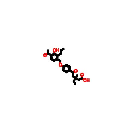 CCCc1c(COc2ccc(C(=O)CC(C)(CC)CC(=O)O)cc2)ccc(C(C)=O)c1O